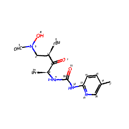 CCCC[C@H](CN(O)C=O)C(=O)[C@@H](NC(=O)Nc1ccc(C)cn1)C(C)C